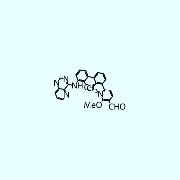 COc1nc(-c2cccc(-c3cccc(Nc4ncnc5cccnc45)c3C)c2Cl)ccc1C=O